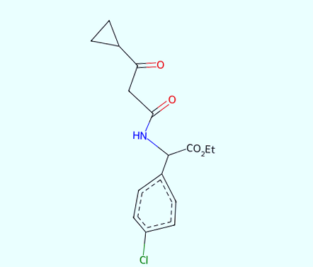 CCOC(=O)C(NC(=O)CC(=O)C1CC1)c1ccc(Cl)cc1